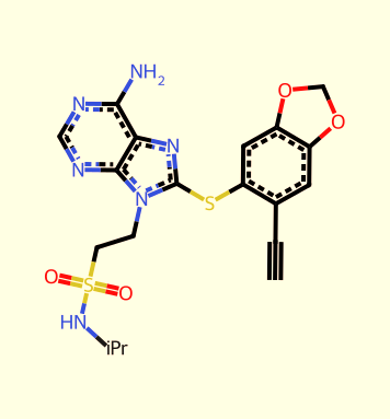 C#Cc1cc2c(cc1Sc1nc3c(N)ncnc3n1CCS(=O)(=O)NC(C)C)OCO2